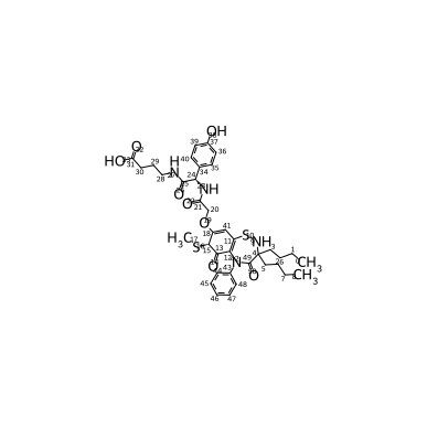 CCCCC1(CCCC)NSC2=C(C(=O)[C@@H](SC)C(OCC(=O)N[C@@H](C(=O)NCCCC(=O)O)c3ccc(O)cc3)=C2)N(c2ccccc2)C1=O